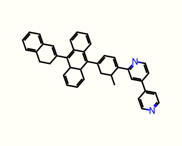 CC1CC(C2=c3ccccc3=C(C3=Cc4ccccc4CC3)C3C=CC=CC23)=CC=C1c1cc(-c2ccncc2)ccn1